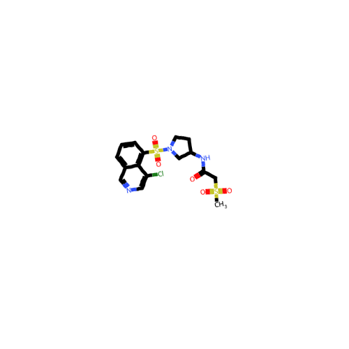 CS(=O)(=O)CC(=O)NC1CCN(S(=O)(=O)c2cccc3cncc(Cl)c23)C1